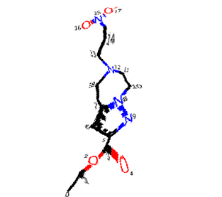 CCOC(=O)c1cc2n(n1)CCN(CC[N+](=O)[O-])C2